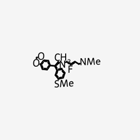 CNC/C=C(\F)Cn1c(C)c(-c2ccc3c(c2)OCO3)c2cc(SC)ccc21